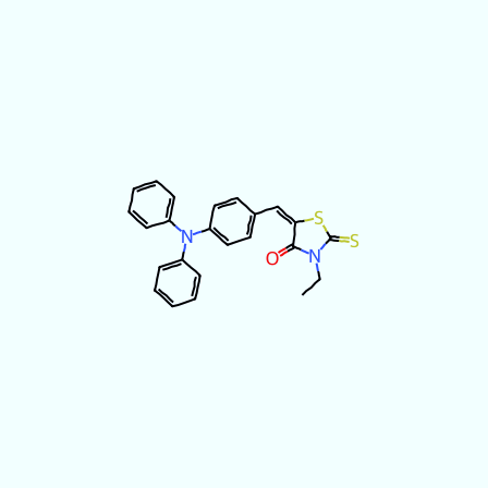 CCN1C(=O)/C(=C\c2ccc(N(c3ccccc3)c3ccccc3)cc2)SC1=S